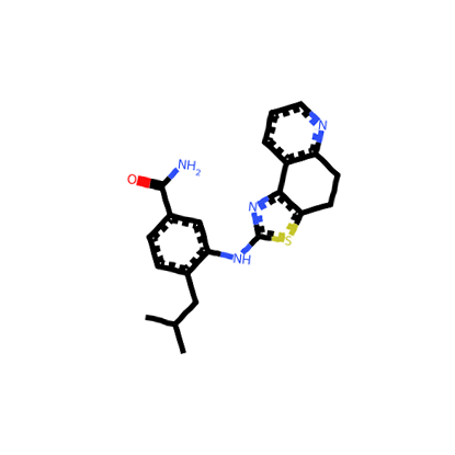 CC(C)Cc1ccc(C(N)=O)cc1Nc1nc2c(s1)CCc1ncccc1-2